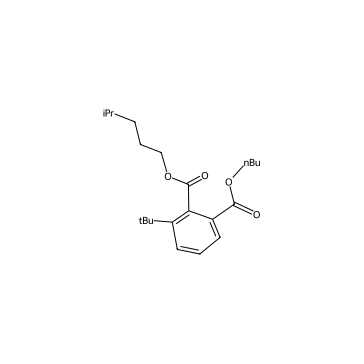 CCCCOC(=O)c1cccc(C(C)(C)C)c1C(=O)OCCCC(C)C